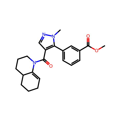 COC(=O)c1cccc(-c2c(C(=O)N3CCCC4CCCC=C43)cnn2C)c1